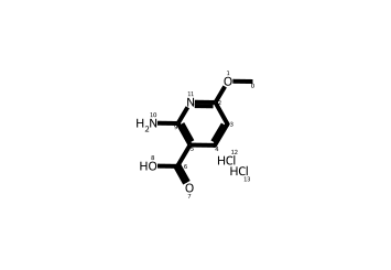 COc1ccc(C(=O)O)c(N)n1.Cl.Cl